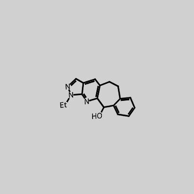 CCn1ncc2cc3c(nc21)C(O)c1ccccc1CC3